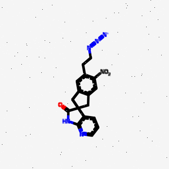 [N-]=[N+]=NCCc1cc2c(cc1[N+](=O)[O-])CC1(C2)C(=O)Nc2ncccc21